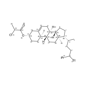 CCC(CCC(C)[C@H]1CC[C@H]2[C@@H]3CC=C4C[C@@H](OC(=O)C(C)Cl)CC[C@]4(C)[C@H]3CC[C@]12C)C(C)C